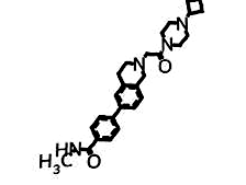 CNC(=O)c1ccc(-c2ccc3c(c2)CCN(CC(=O)N2CCN(C4CCC4)CC2)C3)cc1